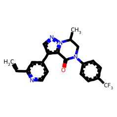 C=Cc1cc(-c2cnn3c2C(=O)N(c2ccc(C(F)(F)F)cc2)CC3C)ccn1